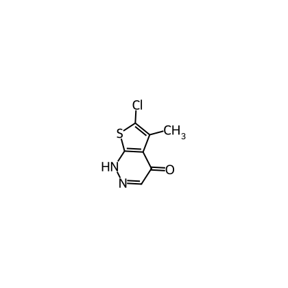 Cc1c(Cl)sc2[nH]ncc(=O)c12